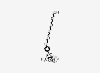 CC1(C)OB(c2ccc(OCCOCCOCCOCCOCCO)cc2)OC1(C)C